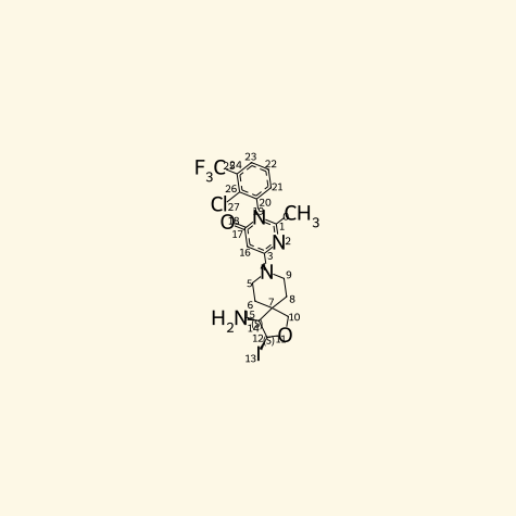 Cc1nc(N2CCC3(CC2)CO[C@@H](I)[C@H]3N)cc(=O)n1-c1cccc(C(F)(F)F)c1Cl